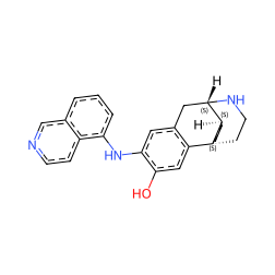 Oc1cc2c(cc1Nc1cccc3cnccc13)C[C@@H]1NCC[C@]23CCCC[C@H]13